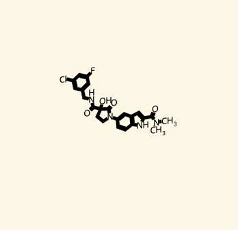 CN(C)C(=O)c1cc2cc(N3CCC(O)(C(=O)NCc4cc(F)cc(Cl)c4)C3=O)ccc2[nH]1